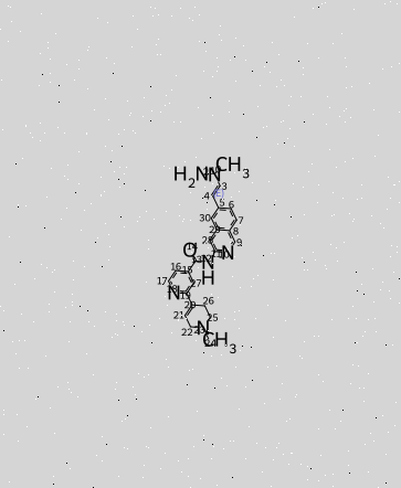 CN(N)/C=C/c1ccc2cnc(NC(=O)c3ccnc(C4=CCN(C)CC4)c3)cc2c1